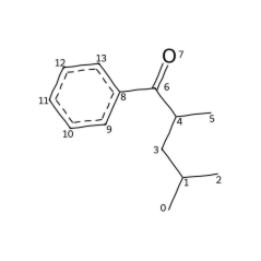 CC(C)CC(C)C(=O)c1ccccc1